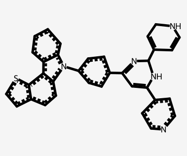 C1=CC(C2N=C(c3ccc(-n4c5ccccc5c5c6sccc6ccc54)cc3)C=C(c3ccncc3)N2)=CCN1